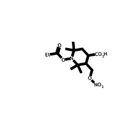 CCC(=O)ON1C(C)(C)CC(C(=O)O)C(CO[N+](=O)[O-])C1(C)C